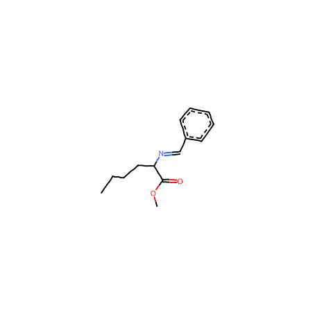 CCCCC(/N=C/c1ccccc1)C(=O)OC